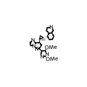 COc1ncc(-c2cc([C@H]3C[C@@H]3c3cccc4cnccc34)c3nccn3n2)c(OC)n1